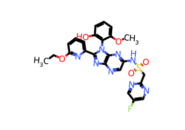 CCOC1=NC(c2nc3ncc(NS(=O)(=O)Cc4ncc(F)cn4)nc3n2-c2c(O)cccc2OC)=C=C=C1